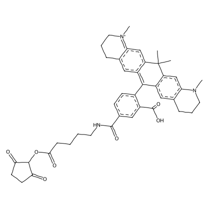 CN1CCCc2cc3c(cc21)C(C)(C)c1cc2c(cc1=C3c1ccc(C(=O)NCCCCC(=O)OC3C(=O)CCC3=O)cc1C(=O)O)CCC[N+]=2C